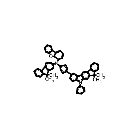 CC1(C)c2ccccc2-c2ccc(N(c3ccc(-c4ccc5c(c4)c4cc6c(cc4n5-c4ccccc4)C(C)(C)c4ccccc4-6)cc3)C3C=CC=C4c5ccccc5OC43)cc21